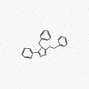 c1ccc(CSc2nnc(-c3ccccc3)n2Cc2ccccc2)cc1